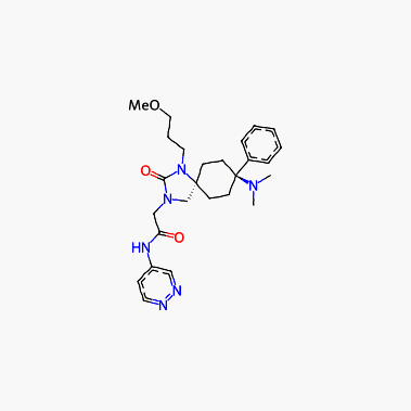 COCCCN1C(=O)N(CC(=O)Nc2ccnnc2)C[C@]12CC[C@](c1ccccc1)(N(C)C)CC2